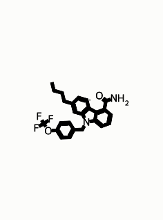 CCCCc1c[c]c2c3c(C(N)=O)cccc3n(Cc3ccc(OC(F)(F)F)cc3)c2c1